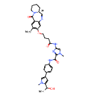 COc1cc2c(cc1OCCCC(=O)Nc1cn(C)c(C(=O)Nc3ccc(-c4cc(C(O)OC)n(C)c4)cc3)n1)N=C[C@@H]1CCCCN1C2=O